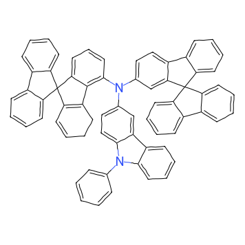 C1=CC2=C(CC1)c1c(N(c3ccc4c(c3)C3(c5ccccc5-c5ccccc53)c3ccccc3-4)c3ccc4c(c3)c3ccccc3n4-c3ccccc3)cccc1C21c2ccccc2-c2ccccc21